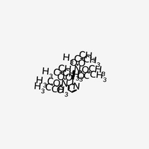 CC(C)(C)OC(=O)N(CC#Cc1ncccc1N(C(=O)OC(C)(C)C)C(=O)OC(C)(C)C)C(=O)OC(C)(C)C